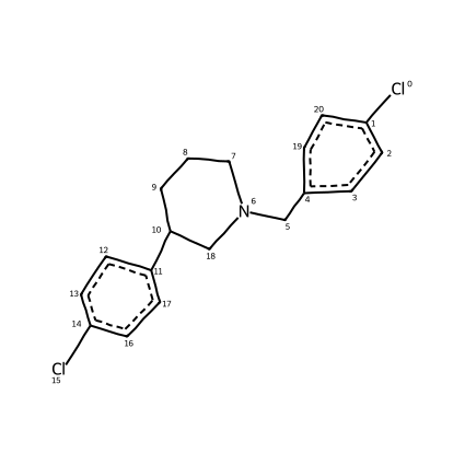 Clc1ccc(CN2CCCC(c3ccc(Cl)cc3)C2)cc1